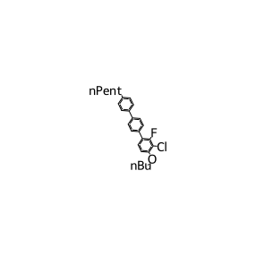 CCCCCc1ccc(-c2ccc(-c3ccc(OCCCC)c(Cl)c3F)cc2)cc1